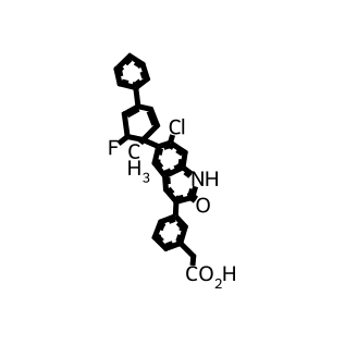 CC1(c2cc3cc(-c4cccc(CC(=O)O)c4)c(=O)[nH]c3cc2Cl)C=CC(c2ccccc2)=CC1F